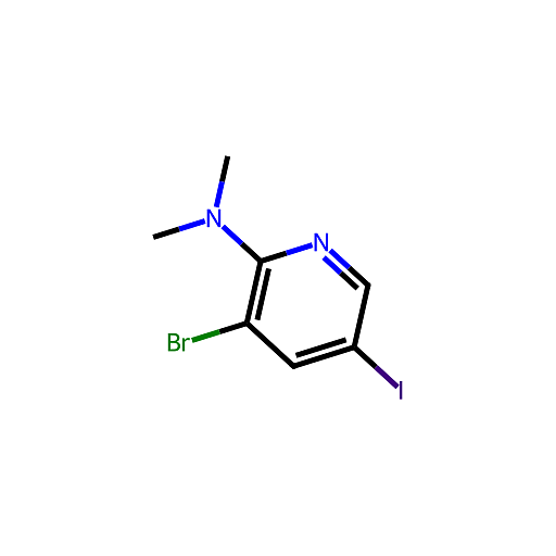 CN(C)c1ncc(I)cc1Br